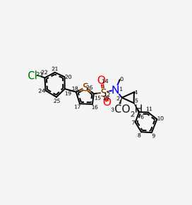 CN([C@]1(C(=O)O)C[C@H]1c1ccccc1)S(=O)(=O)c1ccc(-c2ccc(Cl)cc2)s1